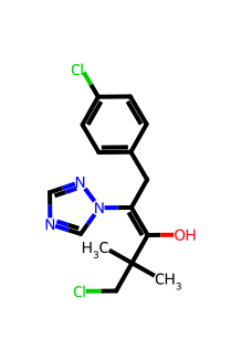 CC(C)(CCl)C(O)=C(Cc1ccc(Cl)cc1)n1cncn1